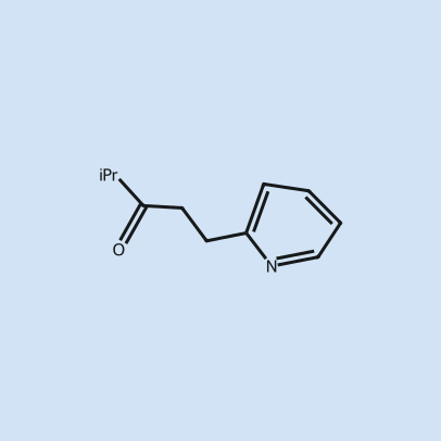 CC(C)C(=O)CCc1ccccn1